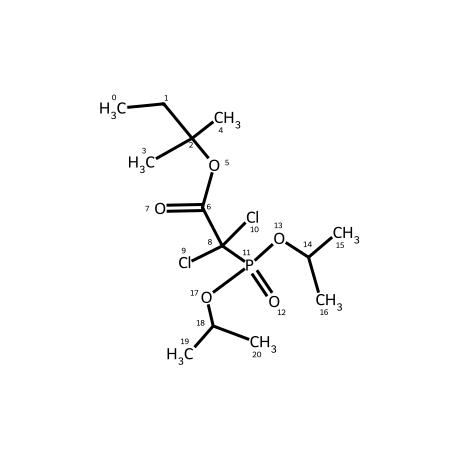 CCC(C)(C)OC(=O)C(Cl)(Cl)P(=O)(OC(C)C)OC(C)C